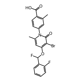 Cc1cc(-n2c(C)cc(OC(F)c3ccccc3F)c(Br)c2=O)ccc1C(=O)O